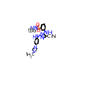 CN1CCN(c2ccc(Nc3ncc(C#N)c(Nc4cccc(S(=O)(=O)NC(C)(C)C)c4)n3)cc2)CC1